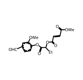 CCC(OC(=O)C=CC(=O)OC)C(=O)Oc1ccc(C=O)cc1OC